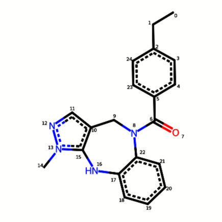 CCc1ccc(C(=O)N2Cc3cnn(C)c3Nc3ccccc32)cc1